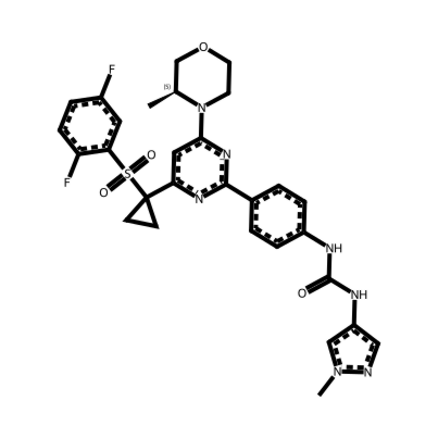 C[C@H]1COCCN1c1cc(C2(S(=O)(=O)c3cc(F)ccc3F)CC2)nc(-c2ccc(NC(=O)Nc3cnn(C)c3)cc2)n1